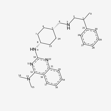 CC(CNC[C@H]1CC[C@@H](Nc2nc(N(C)C)c3ccccc3n2)CC1)c1ccccc1